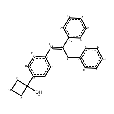 OC1(c2ccc(/N=C(\Cc3ccccc3)c3ccccc3)nc2)CCC1